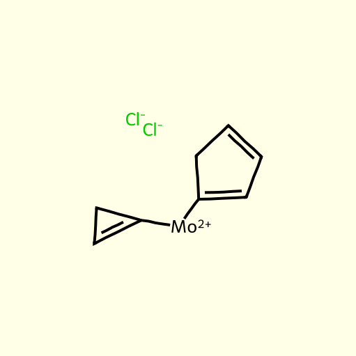 C1=CC[C]([Mo+2][C]2=CC2)=C1.[Cl-].[Cl-]